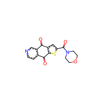 O=C1c2cnccc2C(=O)c2sc(C(=O)N3CCOCC3)cc21